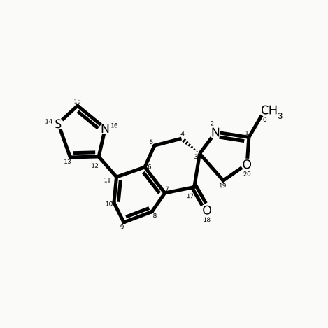 CC1=N[C@@]2(CCc3c(cccc3-c3cscn3)C2=O)CO1